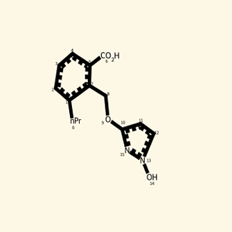 CCCc1cccc(C(=O)O)c1COc1ccn(O)n1